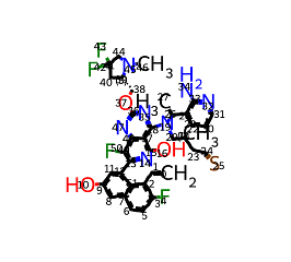 C=Cc1c(F)ccc2cc(O)cc(-c3nc(O)c4c(N(C[C@H](C)CC=S)C(C)c5cccnc5N)nc(OC[C@@H]5CC(F)(F)CN5C)nc4c3F)c12